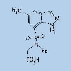 CCN(CC(=O)O)S(=O)(=O)c1cc(C)cc2cn[nH]c12